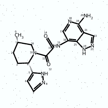 C[C@H]1CC[C@@H](c2ccn[nH]2)N(C(=O)C(=O)Nc2cnc(N)c3cn[nH]c23)C1